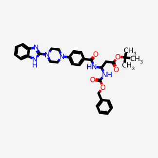 CC(C)(C)OC(=O)CC(NC(=O)OCc1ccccc1)NC(=O)c1ccc(N2CCN(c3nc4ccccc4[nH]3)CC2)cc1